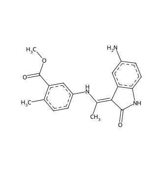 COC(=O)c1cc(NC(C)=C2C(=O)Nc3ccc(N)cc32)ccc1C